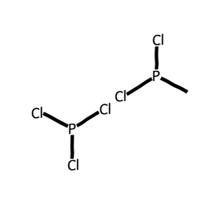 CP(Cl)Cl.ClP(Cl)Cl